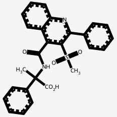 CC(NC(=O)c1c(S(C)(=O)=O)c(-c2ccccc2)nc2ccccc12)(C(=O)O)c1ccccc1